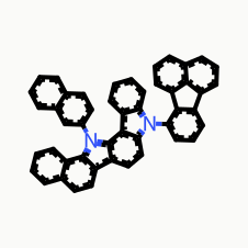 c1cc2c(c(-n3c4ccccc4c4c3ccc3c5ccc6ccccc6c5n(-c5ccc6ccccc6c5)c34)c1)-c1cccc3cccc-2c13